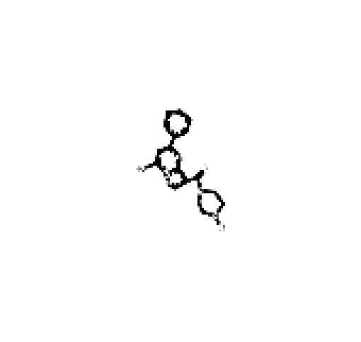 CCN1CCN(C(=O)c2cnn3c(O)cc(-c4ccccc4)nc23)CC1